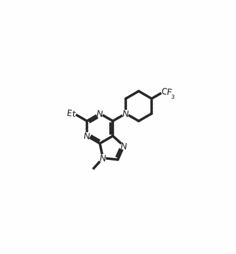 CCc1nc(N2CCC(C(F)(F)F)CC2)c2ncn(C)c2n1